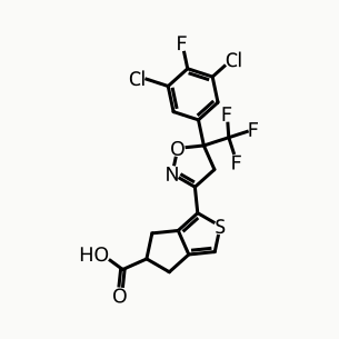 O=C(O)C1Cc2csc(C3=NOC(c4cc(Cl)c(F)c(Cl)c4)(C(F)(F)F)C3)c2C1